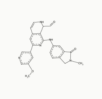 COc1cncc(-c2cc3c(c(Nc4ccc5c(c4)C(=O)N(C)C5)n2)C(C=O)NC=C3)c1